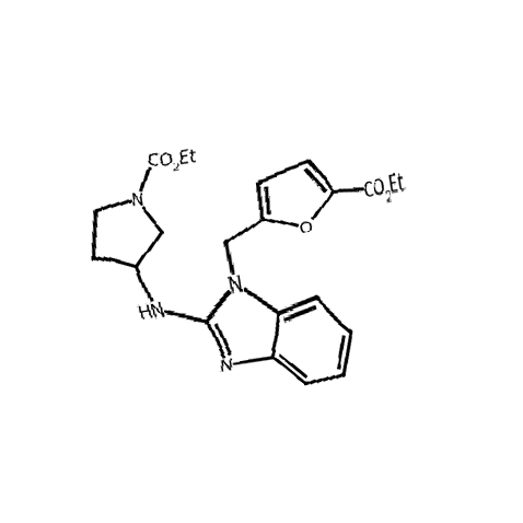 CCOC(=O)c1ccc(Cn2c(NC3CCN(C(=O)OCC)C3)nc3ccccc32)o1